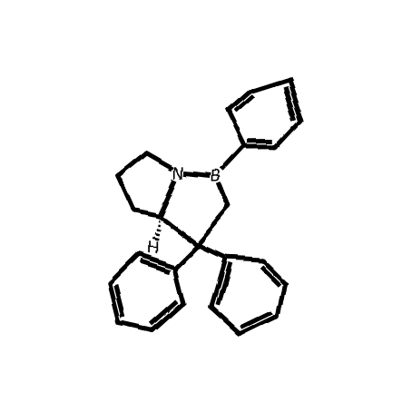 c1ccc(B2CC(c3ccccc3)(c3ccccc3)[C@H]3CCCN23)cc1